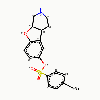 CC(C)(C)c1ccc(S(=O)(=O)Oc2ccc3c(c2)C2CCNCC2O3)cc1